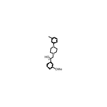 COc1cccc([C@@H](O)CN2CCN(c3cccc(C)c3)CC2)c1